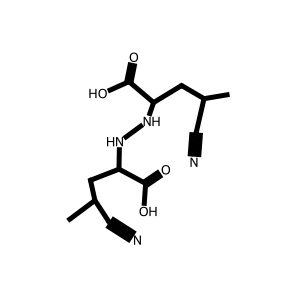 CC(C#N)CC(NNC(CC(C)C#N)C(=O)O)C(=O)O